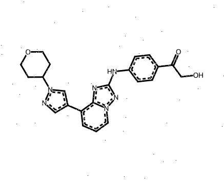 O=C(CO)c1ccc(Nc2nc3c(-c4cnn(C5CCOCC5)c4)cccn3n2)cc1